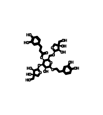 O=C(CCc1ccc(O)c(O)c1)O[C@H]1[C@H](O[C@H]2OC[C@](O)(CO)[C@H]2O)[C@@H](O)[C@H](OCCc2ccc(O)c(O)c2)O[C@@H]1CO[C@@H]1OC[C@](O)(CO)[C@H]1O